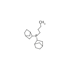 CCCCP(C1CC2CCC1C2)C1CC2CCC1C2